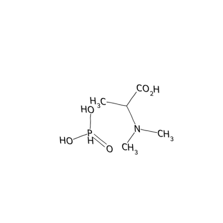 CC(C(=O)O)N(C)C.O=[PH](O)O